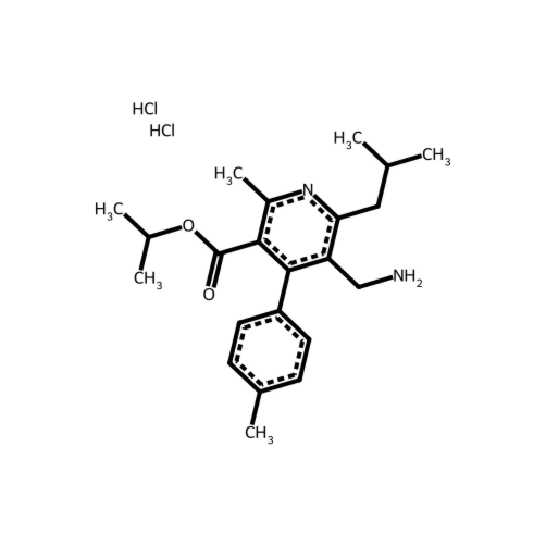 Cc1ccc(-c2c(CN)c(CC(C)C)nc(C)c2C(=O)OC(C)C)cc1.Cl.Cl